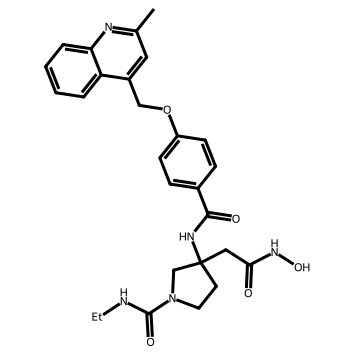 CCNC(=O)N1CCC(CC(=O)NO)(NC(=O)c2ccc(OCc3cc(C)nc4ccccc34)cc2)C1